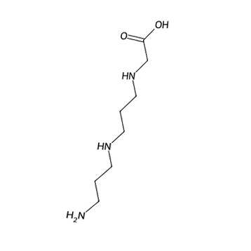 NCCCNCCCNCC(=O)O